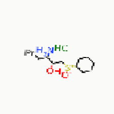 CC(C)CC(N)C(O)C[S+]([O-])C1CCCCC1.Cl